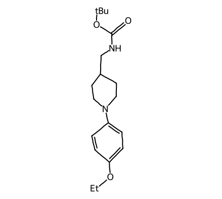 CCOc1ccc(N2CCC(CNC(=O)OC(C)(C)C)CC2)cc1